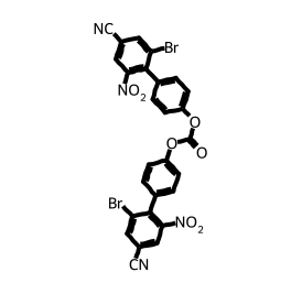 N#Cc1cc(Br)c(-c2ccc(OC(=O)Oc3ccc(-c4c(Br)cc(C#N)cc4[N+](=O)[O-])cc3)cc2)c([N+](=O)[O-])c1